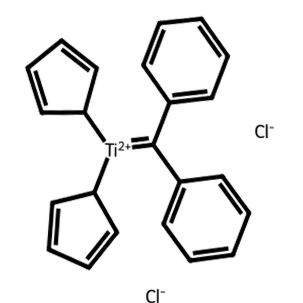 C1=C[CH]([Ti+2](=[C](c2ccccc2)c2ccccc2)[CH]2C=CC=C2)C=C1.[Cl-].[Cl-]